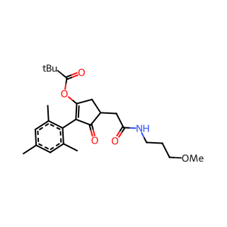 COCCCNC(=O)CC1CC(OC(=O)C(C)(C)C)=C(c2c(C)cc(C)cc2C)C1=O